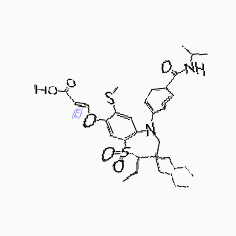 CCCCC1(CCCC)CN(c2ccc(C(=O)NC(C)C)cc2)c2cc(SC)c(O/C=C/C(=O)O)cc2S(=O)(=O)C1CC